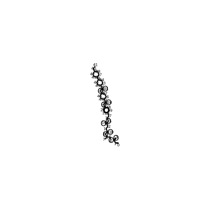 C=CC(=O)OCC(C)OC(=O)CCC(=O)OCCc1ccc(OC(=O)C2CCC(OC(=O)C3CCC(C4CCC(CC)CC4)CC3)CC2)cc1